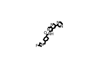 O=C(Nc1cc2cc(-c3cnccn3)cnc2cn1)C1CCC(CN2CC(F)C2)CC1